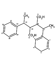 CC(C1=CCCC=C1)C(C(=O)O)C(C(=O)O)C(C)c1ccccc1